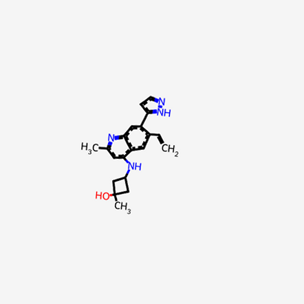 C=Cc1cc2c(NC3CC(C)(O)C3)cc(C)nc2cc1-c1ccn[nH]1